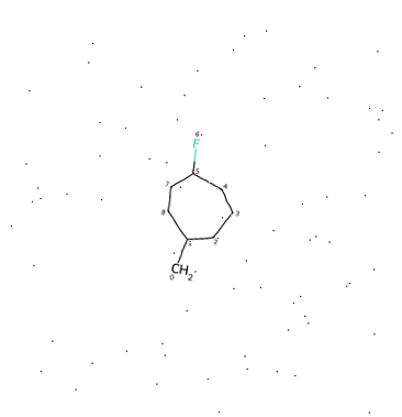 [CH2]C1CCCC(F)CC1